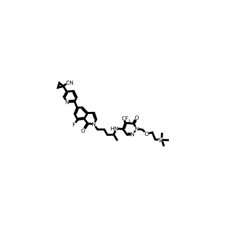 CC(CCCn1ccc2cc(-c3ccc(C4(C#N)CC4)cn3)cc(F)c2c1=O)Nc1cnn(COCC[Si](C)(C)C)c(=O)c1C(F)(F)F